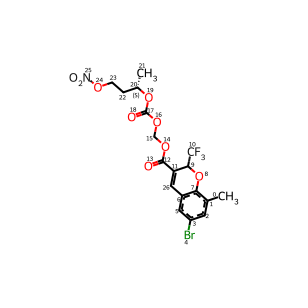 Cc1cc(Br)cc2c1OC(C(F)(F)F)C(C(=O)OCOC(=O)O[C@@H](C)CCO[N+](=O)[O-])=C2